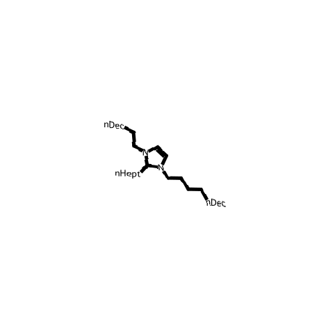 CCCCCCCCCCCCCCN1C=CN(CCCCCCCCCCCC)C1CCCCCCC